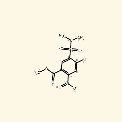 COC(=O)c1cc(S(=O)(=O)N(C)C)c(Br)cc1[N+](=O)[O-]